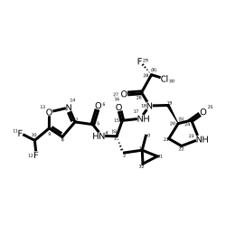 CC1(C[C@H](NC(=O)c2cc(C(F)F)on2)C(=O)NN(C[C@@H]2CCNC2=O)C(=O)[C@H](F)Cl)CC1